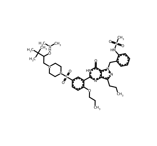 CCCOc1ccc(S(=O)(=O)N2CCN(CC(O[SiH](C)C)C(C)(C)C)CC2)cc1-c1nc2c(CCC)nn(Cc3ccccc3NS(C)(=O)=O)c2c(=O)[nH]1